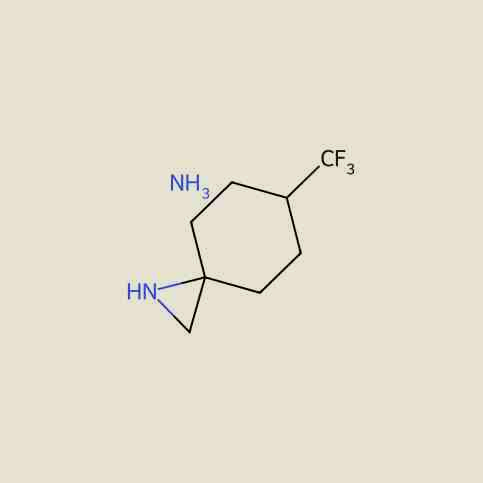 FC(F)(F)C1CCC2(CC1)CN2.N